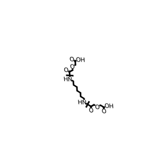 CC(C)(NCCCCCCCNC(C)(C)C(=O)COCC(=O)O)C(=O)COCC(=O)O